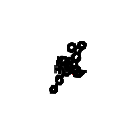 CC1(C)C2=CC3C(C=C2c2cc(C45C=CC(C6=NC(c7ccccc7)NC(c7ccc(-c8ccccc8)cc7)=C6)=CC4C5)ccc21)c1ccccc1C31CCCCC1